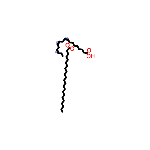 CC/C=C\C/C=C\C/C=C\C(CCCCCCC(=O)O)OC(=O)CCCCCCCCCCCCCCCCCCCCCC